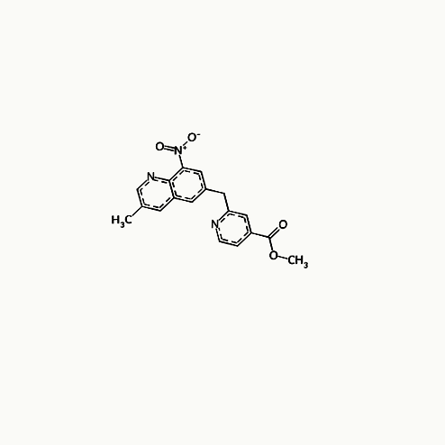 COC(=O)c1ccnc(Cc2cc([N+](=O)[O-])c3ncc(C)cc3c2)c1